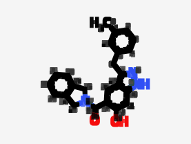 Cc1cccc(Cc2n[nH]c3cc(O)c(C(=O)N4Cc5ccccc5C4)cc23)c1